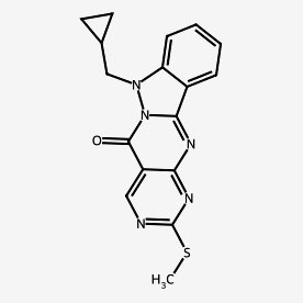 CSc1ncc2c(=O)n3c(nc2n1)c1ccccc1n3CC1CC1